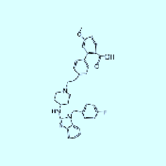 COc1ccc(C(=O)O)c(-c2ccc(CCN3CCC(Nc4nc5ccccc5n4Cc4ccc(F)cc4)CC3)cc2)c1